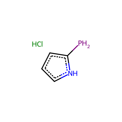 Cl.Pc1ccc[nH]1